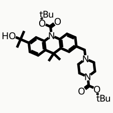 CC(C)(C)OC(=O)N1CCN(Cc2ccc3c(c2)C(C)(C)c2ccc(C(C)(C)O)cc2N3C(=O)OC(C)(C)C)CC1